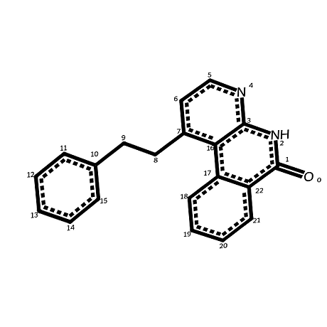 O=c1[nH]c2nccc(CCc3ccccc3)c2c2ccccc12